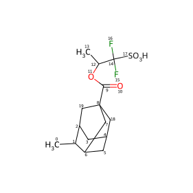 CC1C2CC3CC1CC(C(=O)OC(C)C(F)(F)S(=O)(=O)O)(C3)C2